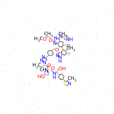 COC(C)COc1nc(N(C)[C@H]2CCNC2)c2cc(C3CC3)c(-c3c(C)c(F)cc4[nH]ncc34)c(OCc3ccc(-c4cn(C(C(=O)N5C[C@H](O)C[C@H]5C(=O)NC(CO)c5ccc(-c6scnc6C)cc5)C(C)C)nn4)cc3)c2n1